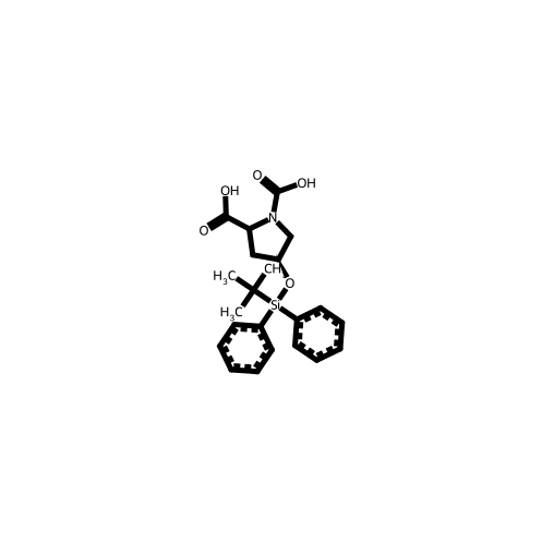 CC(C)(C)[Si](O[C@H]1CC(C(=O)O)N(C(=O)O)C1)(c1ccccc1)c1ccccc1